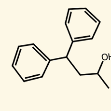 CC(O)CC(c1ccccc1)c1ccccc1